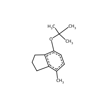 Cc1ccc(OC(C)(C)C)c2c1CCC2